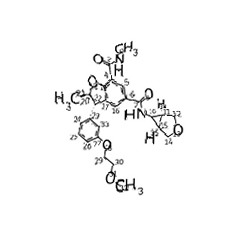 CNC(=O)c1cc(C(=O)NC2[C@H]3COC[C@@H]23)cc2c1O[C@H](C)[C@H]2c1cccc(OCCOC)c1